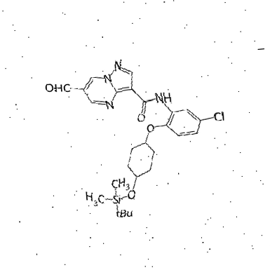 CC(C)(C)[Si](C)(C)OC1CCC(Oc2ccc(Cl)cc2NC(=O)c2cnn3cc(C=O)cnc23)CC1